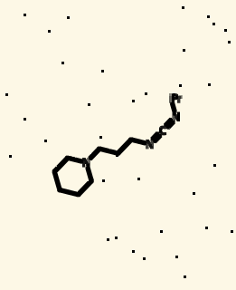 CC(C)N=C=NCCCN1CCCCC1